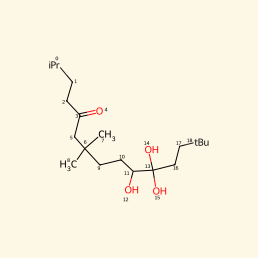 CC(C)CCC(=O)CC(C)(C)CCC(O)C(O)(O)CCC(C)(C)C